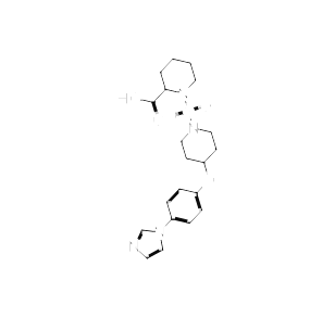 O=C(O)C1CCCCN1S(=O)(=O)N1CCC(Oc2ccc(-n3ccnc3)cc2)CC1